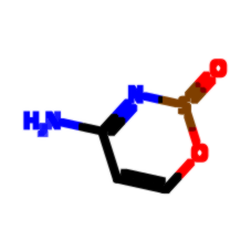 NC1=NS(=O)OC=C1